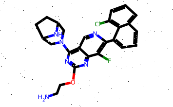 NCCOc1nc(N2CC3CCC(C2)N3)c2cnc(-c3cccc4cccc(Cl)c34)c(F)c2n1